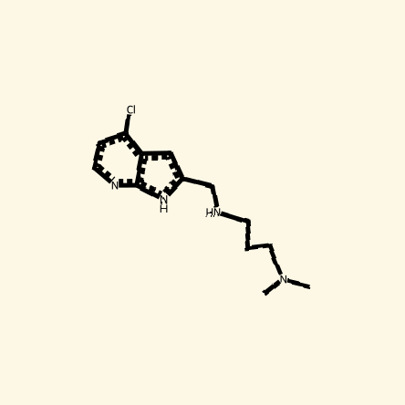 CN(C)CCCNCc1cc2c(Cl)ccnc2[nH]1